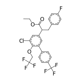 CCOC(=O)C(Cc1ccc(F)cc1)c1cc(Cl)c(OCC(F)(F)F)c(-c2ccc(C(F)(F)F)cc2)c1